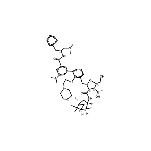 C[C@@H]1[C@@H](NC(=O)[C@@H]2[C@H]([C@H](C)O)[C@H](CO)ON2Cc2cccc(-c3cc(C(=O)N[C@@H](Cc4ccccc4)CN(C)C)cc(N(C)C)c3)c2OCCN2CCOCC2)C[C@H]2C[C@@H]1C2(C)C